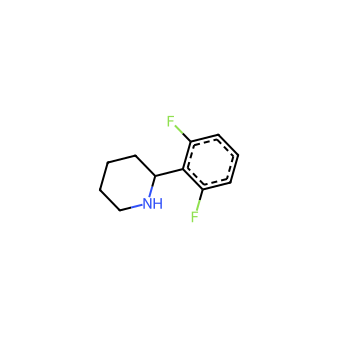 Fc1cccc(F)c1C1CCCCN1